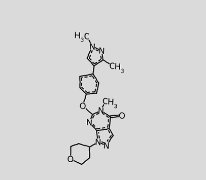 Cc1nn(C)cc1-c1ccc(Oc2nc3c(cnn3C3CCOCC3)c(=O)n2C)cc1